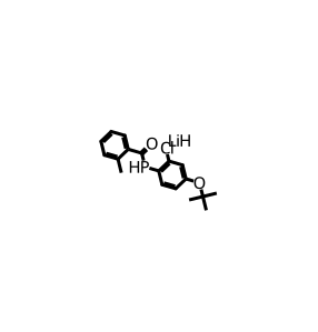 Cc1ccccc1C(=O)Pc1ccc(OC(C)(C)C)cc1Cl.[LiH]